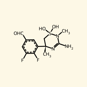 CN1C(N)=N[C@](C)(c2cc(C=O)cc(F)c2F)CS1(O)O